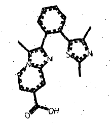 Cc1nc(C)c(-c2ccccc2-c2nc3cc(C(=O)O)ccn3c2C)s1